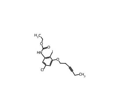 CCC#CCCOc1cc(Cl)cc(NC(=O)OCC)c1I